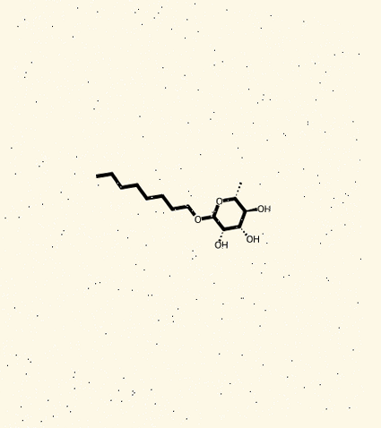 CCCCCCCCOC1O[C@H](C)[C@@H](O)[C@H](O)[C@@H]1O